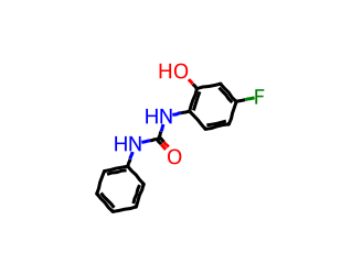 O=C(Nc1ccccc1)Nc1ccc(F)cc1O